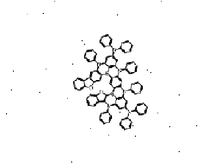 c1ccc(N(c2ccccc2)c2cc3c4c(c2)N(c2ccccc2)c2cc5c(cc2B4c2cc4c(cc2N3c2ccccc2)N(c2ccccc2)c2cc(N(c3ccccc3)c3ccccc3)cc3c2B4c2oc4ccccc4c2N3c2ccccc2)oc2ccccc25)cc1